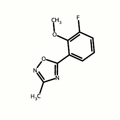 COc1c(F)cccc1-c1nc(C)no1